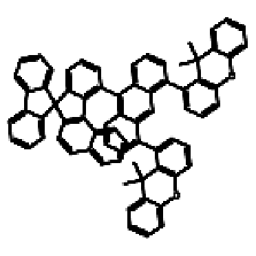 CC1(C)c2ccccc2Oc2cccc(-c3cccc4c(-c5cccc6c5-c5c(ccc7ccccc57)C65c6ccccc6-c6ccccc65)c5cccc(-c6cccc7c6C(C)(C)c6ccccc6O7)c5cc34)c21